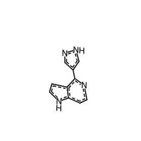 c1cc2[nH]ccc2c(-c2cn[nH]c2)n1